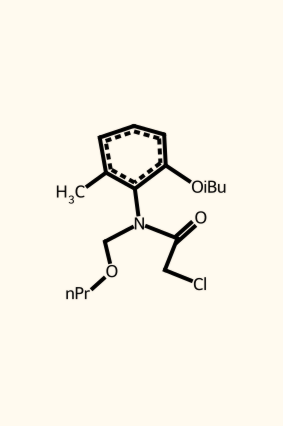 CCCOCN(C(=O)CCl)c1c(C)cccc1OCC(C)C